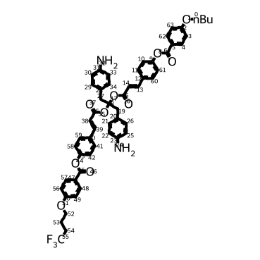 CCCCOc1ccc(C(=O)Oc2ccc(/C=C/C(=O)OC(Cc3ccc(N)cc3)(Cc3ccc(N)cc3)OC(=O)/C=C/c3ccc(OC(=O)c4ccc(OCCCC(F)(F)F)cc4)cc3)cc2)cc1